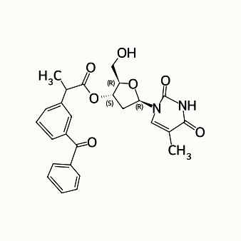 Cc1cn([C@H]2C[C@H](OC(=O)C(C)c3cccc(C(=O)c4ccccc4)c3)[C@@H](CO)O2)c(=O)[nH]c1=O